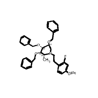 COc1ccc(CCN2C[C@H](OCc3ccccc3)[C@@H](OCc3ccccc3)[C@H](OCc3ccccc3)[C@H]2C)c(F)c1